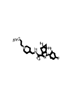 COCCN1CCC(CNC(=O)c2nn(-c3ccc(F)cc3F)c3c2C[C@H]2C[C@@H]32)CC1